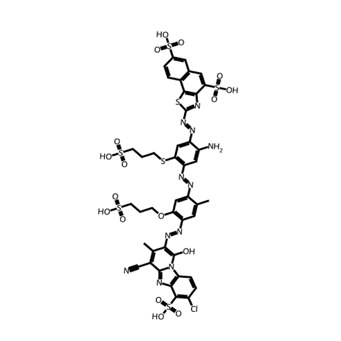 Cc1cc(N=Nc2c(C)c(C#N)c3nc4c(S(=O)(=O)O)c(Cl)ccc4n3c2O)c(OCCCS(=O)(=O)O)cc1N=Nc1cc(N)c(N=Nc2nc3c(S(=O)(=O)O)cc4cc(S(=O)(=O)O)ccc4c3s2)cc1SCCCS(=O)(=O)O